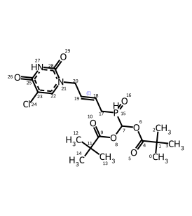 CC(C)(C)C(=O)OC(OC(=O)C(C)(C)C)[PH](=O)C/C=C/Cn1cc(Cl)c(=O)[nH]c1=O